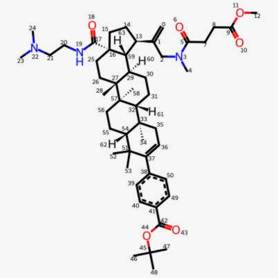 C=C(CN(C)C(=O)CCC(=O)OC)[C@@H]1CC[C@]2(C(=O)NCCN(C)C)CC[C@]3(C)[C@H](CC[C@@H]4[C@@]5(C)CC=C(c6ccc(C(=O)OC(C)(C)C)cc6)C(C)(C)[C@@H]5CC[C@]43C)[C@@H]12